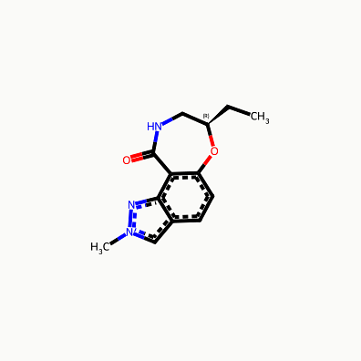 CC[C@@H]1CNC(=O)c2c(ccc3cn(C)nc23)O1